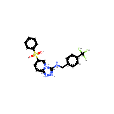 O=S(=O)(c1ccccc1)c1ccc2nnc(NCc3ccc(C(F)(F)F)cc3)n2c1